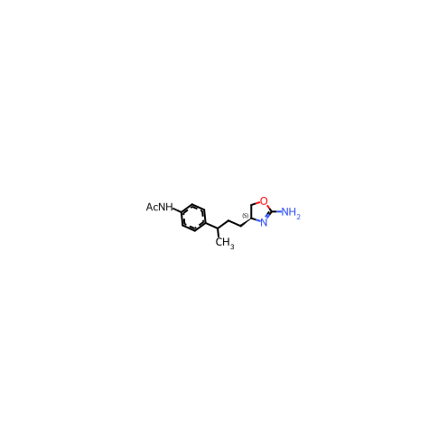 CC(=O)Nc1ccc(C(C)CC[C@H]2COC(N)=N2)cc1